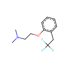 CN(C)CCOc1ccccc1CC(F)(F)F